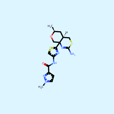 C[C@H]1C[C@H]2CSC(N)=NC2(c2nc(NC(=O)c3ccn(C)n3)cs2)CO1